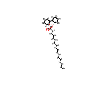 CCCCCCCCCCCCCCCCCC(=O)Oc1ccccc1-c1ccccc1